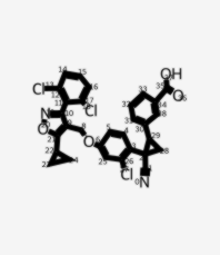 N#CC1(c2ccc(OCc3c(-c4c(Cl)cccc4Cl)noc3C3CC3)cc2Cl)CC1c1cccc(C(=O)O)c1